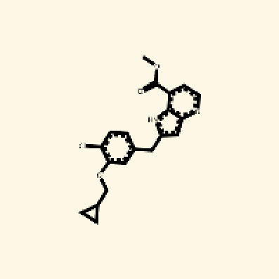 COC(=O)c1ccnc2cc(Cc3ccc(Cl)c(OCC4CC4)c3)[nH]c12